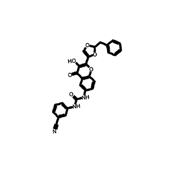 N#Cc1cccc(NC(=O)Nc2ccc3oc(C4=COC(Cc5ccccc5)O4)c(O)c(=O)c3c2)c1